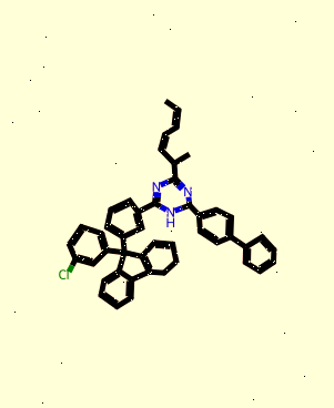 C/C=C\C=C/C(C)C1=NC(c2ccc(-c3ccccc3)cc2)NC(c2cccc(C3(c4cccc(Cl)c4)C4=C(CCC=C4)c4ccccc43)c2)=N1